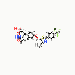 CC1N=C(c2ccc(C(F)(F)F)cc2)SC1COc1ccc([C@@H](CC(=O)O)C2C=CON2)cc1